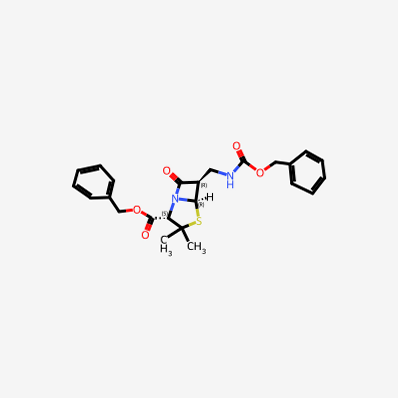 CC1(C)S[C@@H]2[C@H](CNC(=O)OCc3ccccc3)C(=O)N2[C@H]1C(=O)OCc1ccccc1